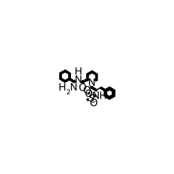 CS(=O)(=O)N[C@H](Cc1ccccc1)C(=O)N1CCCCC1C(=O)NC(N)C1CCCCC1